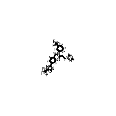 O=C(CCn1cncn1)N(Cc1ccc(-c2noc(C(F)(F)F)n2)cc1)c1cccc(C(F)(F)F)c1